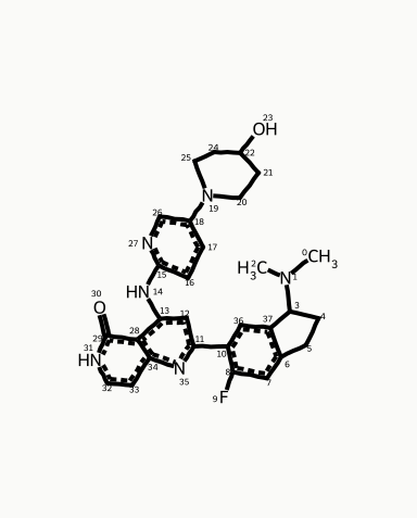 CN(C)C1CCc2cc(F)c(-c3cc(Nc4ccc(N5CCC(O)CC5)cn4)c4c(=O)[nH]ccc4n3)cc21